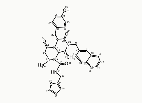 C[C@H]1C2N(C(=O)CN(C)N2C(=O)NCc2cccs2)[C@@H](Cc2ccc(O)cc2)C(=O)N1Cc1ccc2ncccc2c1